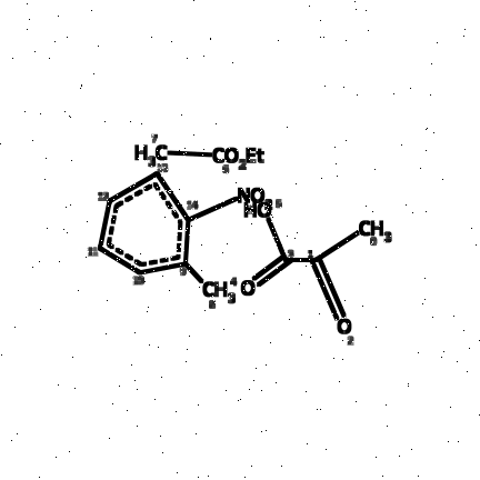 CC(=O)C(=O)O.CCOC(C)=O.Cc1ccccc1[N+](=O)[O-]